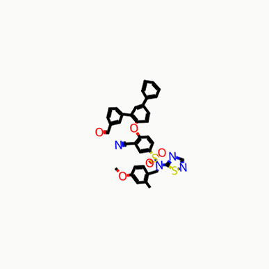 COc1ccc(CN(c2ncns2)S(=O)(=O)c2ccc(Oc3ccc(-c4ccccc4)cc3-c3cccc(C=O)c3)c(C#N)c2)c(C)c1